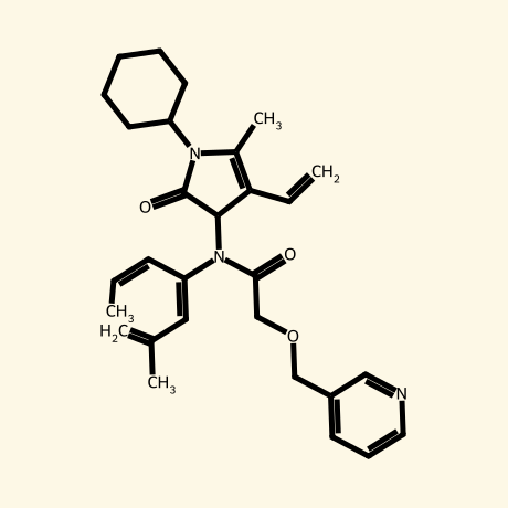 C=CC1=C(C)N(C2CCCCC2)C(=O)C1N(C(=O)COCc1cccnc1)C(/C=C\C)=C/C(=C)C